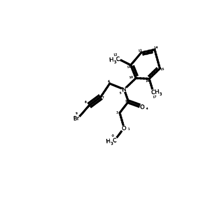 COCC(=O)N(CC#CBr)c1c(C)cccc1C